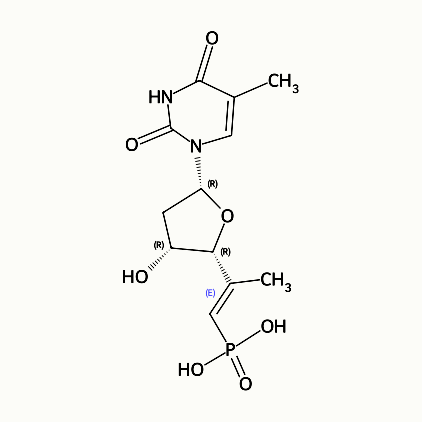 C/C(=C\P(=O)(O)O)[C@H]1O[C@@H](n2cc(C)c(=O)[nH]c2=O)C[C@H]1O